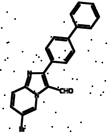 O=Cc1c(-c2ccc(-c3ccccc3)cc2)nc2ccc(Br)cn12